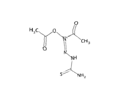 CC(=O)O[N+](=NNC(N)=S)C(C)=O